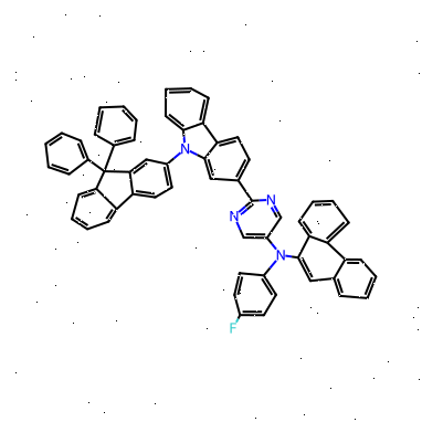 Fc1ccc(N(c2cnc(-c3ccc4c5ccccc5n(-c5ccc6c(c5)C(c5ccccc5)(c5ccccc5)c5ccccc5-6)c4c3)nc2)c2cc3ccccc3c3ccccc23)cc1